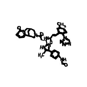 Cc1ccc(-n2cnnn2)c(/C=C/C(=O)N[C@@H](CC(=O)N2CC3CC(C2)c2cccc(=O)n2C3)c2nc(-c3ccc(NC=O)cc3)c(C)[nH]2)c1